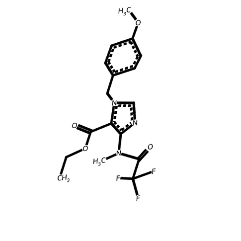 CCOC(=O)c1c(N(C)C(=O)C(F)(F)F)ncn1Cc1ccc(OC)cc1